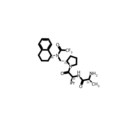 CC(C)[C@H](NC(=O)[C@H](C)N)C(=O)N1CCC[C@H]1CN(C(=O)C(F)(F)F)[C@@H]1CCCc2ccccc21